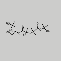 CCC(C)(CC(C)(C)C(=O)OC(C)(C)C(C)(C)C)C(=O)OC(CC(C)C)CC(C)(O)C(F)(F)F